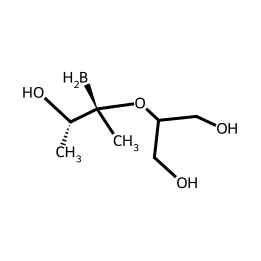 B[C@](C)(OC(CO)CO)[C@H](C)O